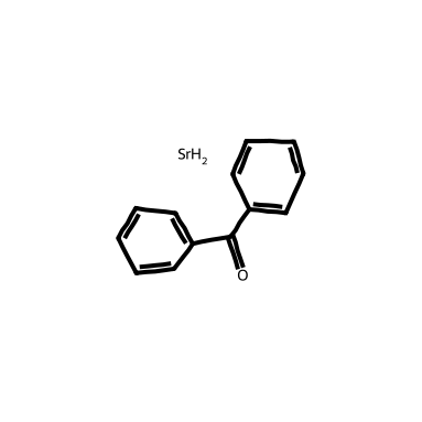 O=C(c1ccccc1)c1ccccc1.[SrH2]